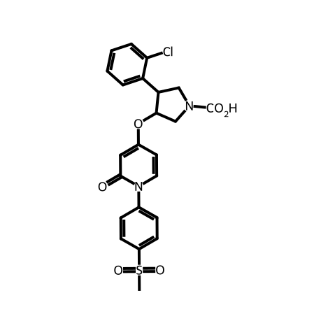 CS(=O)(=O)c1ccc(-n2ccc(OC3CN(C(=O)O)CC3c3ccccc3Cl)cc2=O)cc1